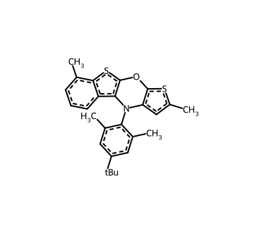 Cc1cc2c(s1)Oc1sc3c(C)cccc3c1N2c1c(C)cc(C(C)(C)C)cc1C